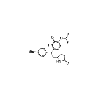 CC(C)(C)c1ccc(C(C[C@H]2CCC(=O)N2)c2ccc(OC(F)F)c(=O)[nH]2)cc1